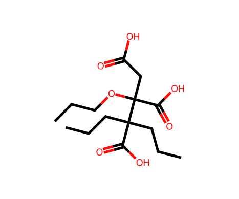 CCCOC(CC(=O)O)(C(=O)O)C(CCC)(CCC)C(=O)O